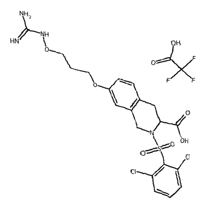 N=C(N)NOCCCOc1ccc2c(c1)CN(S(=O)(=O)c1c(Cl)cccc1Cl)C(C(=O)O)C2.O=C(O)C(F)(F)F